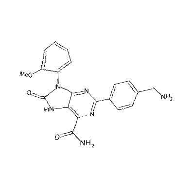 COc1ccccc1-n1c(=O)[nH]c2c(C(N)=O)nc(-c3ccc(CN)cc3)nc21